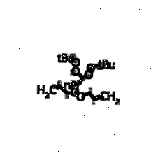 C=CCOOCC=C.CCCC(OOC(C)(C)C)OOC(C)(C)C